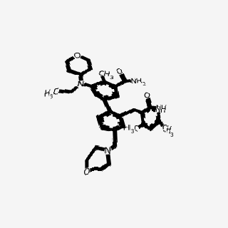 CCN(c1cc(-c2ccc(CN3CCOCC3)cc2Cc2c(C)cc(C)[nH]c2=O)cc(C(N)=O)c1C)C1CCOCC1